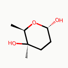 C[C@H]1O[C@H](O)CC[C@@]1(C)O